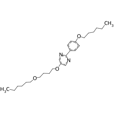 CCCCCCOCCCCOc1cnc(-c2ccc(OCCCCCC)cc2)nc1